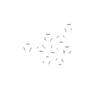 CC(C)(C)c1cccc(-c2ccccc2-c2nc(-c3ccccc3-c3cccc(-c4ccccn4)n3)nc(-c3ccccc3-c3cccc(-c4ccccn4)n3)n2)n1